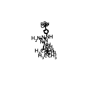 CCCCOC(=O)c1ccc(Nc2nc(N)nc(NCC(C)[Si](C)(O)O[Si](C)(C)C)n2)cc1